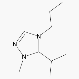 CCCN1C=NN(C)C1C(C)C